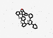 c1ccc(-c2cc(-c3ccccc3)nc(-c3cccc4sc5c6c(ccc5c34)C3(c4ccccc4S6)c4ccccc4-c4ccccc43)c2)cc1